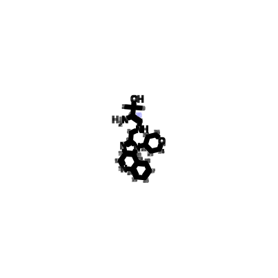 CC(C)(O)/C(N)=C/NCc1nc2cnc3ccccc3c2n1C1CCOCC1